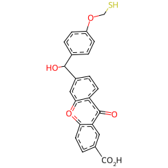 O=C(O)c1ccc2oc3cc(C(O)c4ccc(OCS)cc4)ccc3c(=O)c2c1